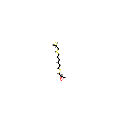 C(CCCSCC1CS1)CCSCC1CO1